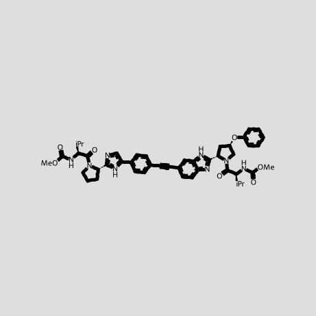 COC(=O)N[C@H](C(=O)N1CCC[C@H]1c1ncc(-c2ccc(C#Cc3ccc4nc([C@@H]5C[C@H](Oc6ccccc6)CN5C(=O)[C@@H](NC(=O)OC)C(C)C)[nH]c4c3)cc2)[nH]1)C(C)C